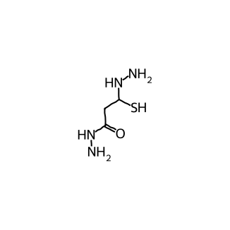 NNC(=O)CC(S)NN